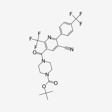 CC(C)(C)OC(=O)N1CCN(C(=O)c2cc(C#N)c(-c3ccc(C(F)(F)F)cc3)nc2C(F)(F)F)CC1